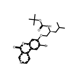 CC(C)C[C@@H](COc1cc2oc(=O)c3cnccc3c2cc1Br)NC(=O)OC(C)(C)C